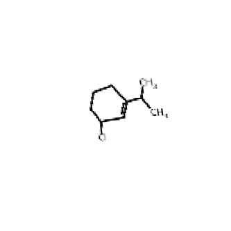 CC(C)C1=CC(Cl)CCC1